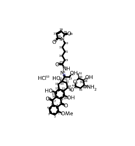 COc1cccc2c1C(=O)c1c(O)c3c(c(O)c1C2=O)C[C@@](O)(/C(CO)=N/NC(=O)CCCCCN1C(=O)C=CC1=O)C[C@@H]3O[C@H]1C[C@H](N)[C@H](O)[C@H](C)O1.Cl